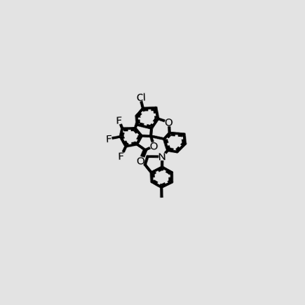 Cc1ccc2c(c1)CCN2c1cccc2c1C1(OC(=O)c3c(F)c(F)c(F)c(F)c31)c1ccc(Cl)cc1O2